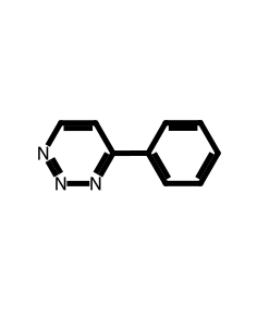 c1ccc(-c2ccnnn2)cc1